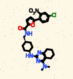 CN(C)c1nc(N[C@H]2CC[C@@H](CNC(=O)c3ccc(-c4ccc(Cl)cc4[N+](=O)[O-])o3)CC2)nc2c1CCCC2